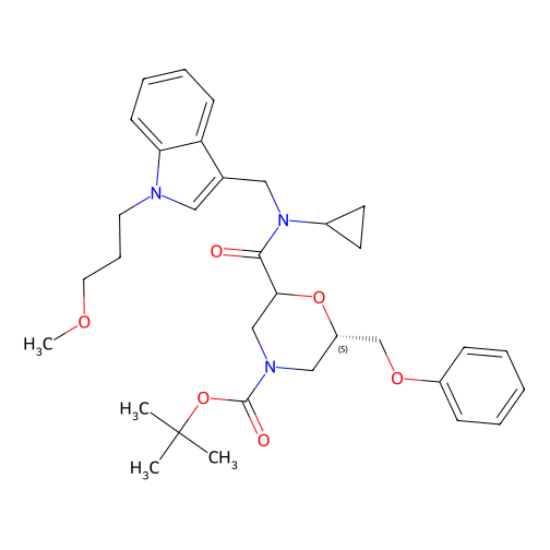 COCCCn1cc(CN(C(=O)C2CN(C(=O)OC(C)(C)C)C[C@@H](COc3ccccc3)O2)C2CC2)c2ccccc21